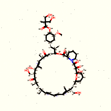 CO[C@@H]1C[C@H](C[C@@H](C)[C@@H]2CC(=O)[C@H](C)/C=C(\C)[C@@H](O)[C@@H](CO)C(=O)[C@H](C)C[C@H](C)/C=C/C=C/C=C(\C)[C@@H](CO)C[C@@H]3CC[C@@H](C)[C@@](O)(O3)C(=O)C(=O)N3CCCC[C@H]3C(=O)O2)CC[C@H]1OC(=O)C(C)(CO)CO